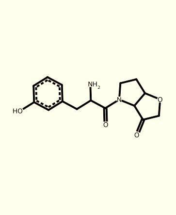 NC(Cc1cccc(O)c1)C(=O)N1CCC2OCC(=O)C21